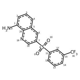 Nc1cccc2cc(S(=O)(=O)c3cccc(C(F)(F)F)c3)cnc12